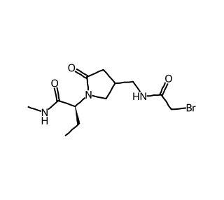 CC[C@@H](C(=O)NC)N1CC(CNC(=O)CBr)CC1=O